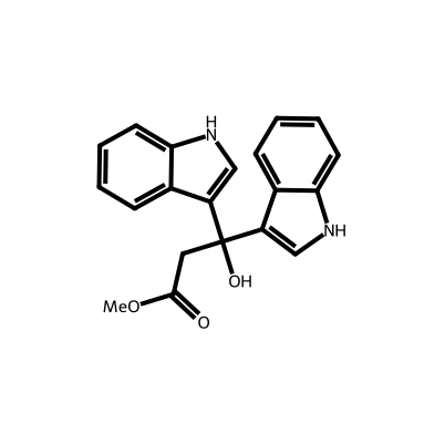 COC(=O)CC(O)(c1c[nH]c2ccccc12)c1c[nH]c2ccccc12